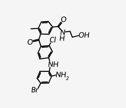 Cc1ccc(C(=O)NCCO)cc1C(=O)c1ccc(Nc2ccc(Br)cc2N)cc1Cl